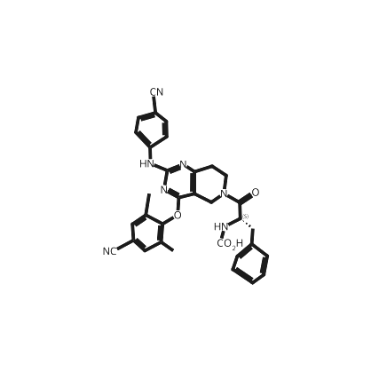 Cc1cc(C#N)cc(C)c1Oc1nc(Nc2ccc(C#N)cc2)nc2c1CN(C(=O)[C@H](Cc1ccccc1)NC(=O)O)CC2